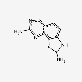 Nc1ncc2ccc3c(c2n1)SC(N)N3